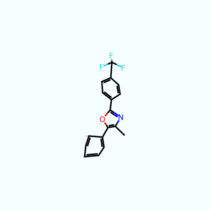 Cc1nc(-c2ccc(C(F)(F)F)cc2)oc1-c1[c]cccc1